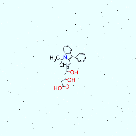 CC(C)n1c(/C=C/[C@@H](O)C[C@@H](O)CC(=O)O)c(-c2ccccc2)c2ccccc21